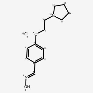 Cl.ON=Cc1ccc(OCCN2CCCC2)cc1